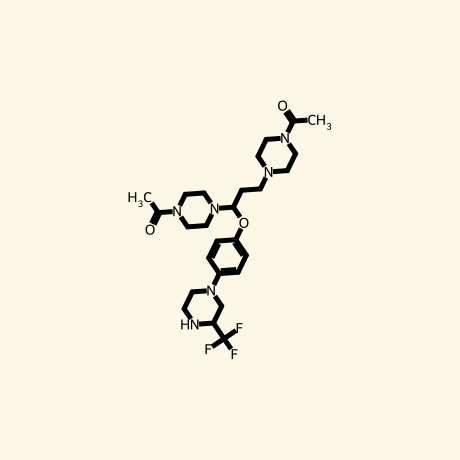 CC(=O)N1CCN(CCC(Oc2ccc(N3CCNC(C(F)(F)F)C3)cc2)N2CCN(C(C)=O)CC2)CC1